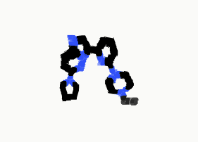 O=CN1CCN(c2cccc(-c3cnc4ccc(N5CCCC5)nn34)n2)CC1